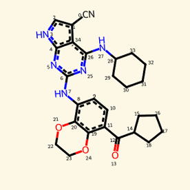 N#Cc1c[nH]c2nc(Nc3ccc(C(=O)C4CCCC4)c4c3OCCO4)nc(NC3CCCCC3)c12